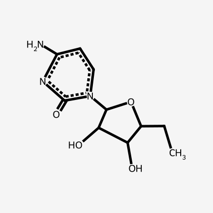 CCC1OC(n2ccc(N)nc2=O)C(O)C1O